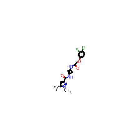 Cn1nc(C(=O)NC23CC(NC(=O)COc4ccc(Cl)c(F)c4)(C2)C3)cc1C(F)(F)F